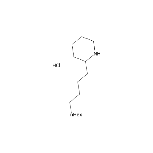 CCCCCCCCCCC1CCCCN1.Cl